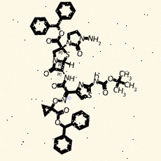 CC(C)(C)OC(=O)Nc1nc(/C(=N/OC2(C(=O)OC(c3ccccc3)c3ccccc3)CC2)C(=O)N[C@@H]2C(=O)N3C[C@@](C(=O)OC(c4ccccc4)c4ccccc4)(N4CCN(N)C4=O)S[C@H]23)cs1